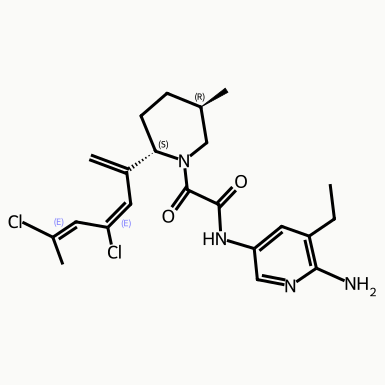 C=C(/C=C(Cl)\C=C(/C)Cl)[C@@H]1CC[C@@H](C)CN1C(=O)C(=O)Nc1cnc(N)c(CC)c1